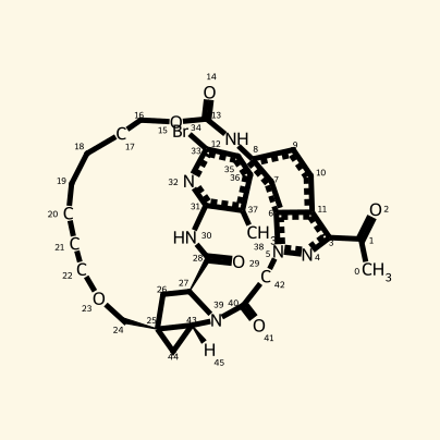 CC(=O)c1nn2c3cc(ccc13)NC(=O)OCCCCCCCOC[C@@]13C[C@@H](C(=O)Nc4nc(Br)ccc4C)N(C(=O)C2)[C@@H]1C3